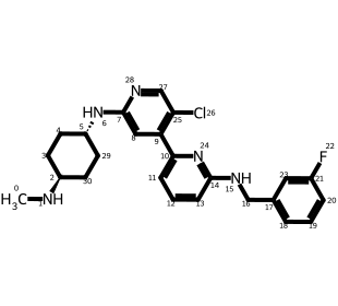 CN[C@H]1CC[C@H](Nc2cc(-c3cccc(NCc4cccc(F)c4)n3)c(Cl)cn2)CC1